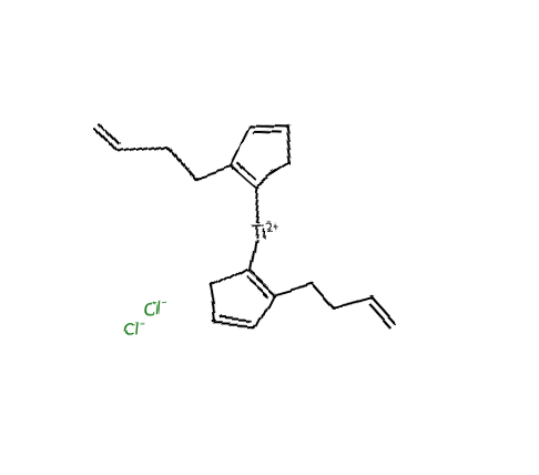 C=CCCC1=[C]([Ti+2][C]2=C(CCC=C)C=CC2)CC=C1.[Cl-].[Cl-]